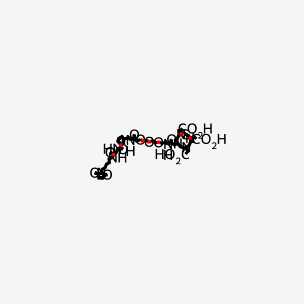 O=C(O)CN1CCN(CC(=O)O)CCN(CC(=O)NCCOCCOCCOCC(=O)NCc2cccc(C(=O)NCC(=O)NCCCCCN3C(=O)C=CC3=O)c2)CCN(CC(=O)O)CC1